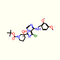 COc1ccc(CNc2nccn3c([C@]4(O)CCCN(C(=O)OC(C)(C)C)C4)nc(Br)c23)c(OC)c1